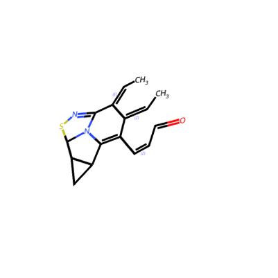 C/C=C1/C(/C=C\C=O)=C2C3CC3C3SN=C(/C1=C/C)N23